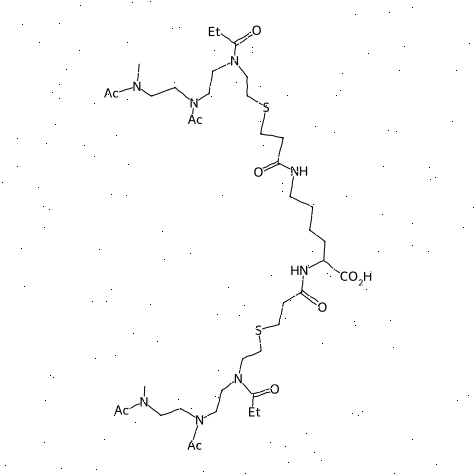 CCC(=O)N(CCSCCC(=O)NCCCCC(NC(=O)CCSCCN(CCN(CCN(C)C(C)=O)C(C)=O)C(=O)CC)C(=O)O)CCN(CCN(C)C(C)=O)C(C)=O